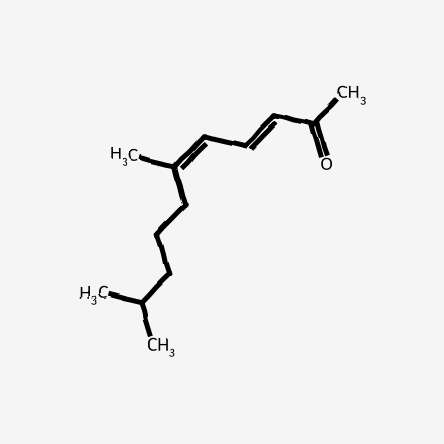 CC(=O)C=CC=C(C)CCCC(C)C